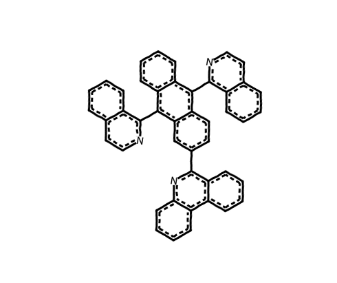 c1ccc2c(-c3c4ccccc4c(-c4nccc5ccccc45)c4cc(-c5nc6ccccc6c6ccccc56)ccc34)nccc2c1